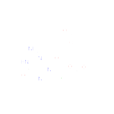 C[C@H](OC(=O)c1ccccc1)[C@@H](COC(=O)c1ccccc1)O[C@H](CCl)n1cnc2c(=O)[nH]c(N)nc21